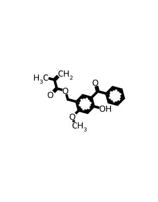 C=C(C)C(=O)OCc1cc(C(=O)c2ccccc2)c(O)cc1OC